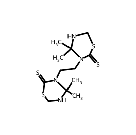 CC1(C)NCSC(=S)N1CCN1C(=S)SCNC1(C)C